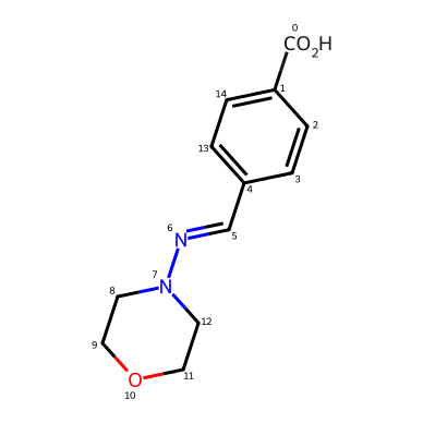 O=C(O)c1ccc(C=NN2CCOCC2)cc1